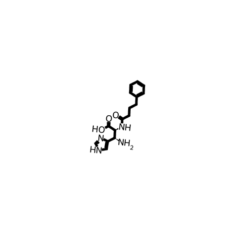 N[C@H](c1c[nH]cn1)[C@@H](NC(=O)CCCc1ccccc1)C(=O)O